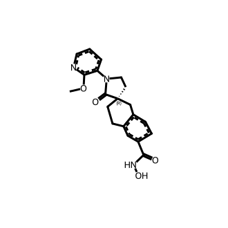 COc1ncccc1N1CC[C@]2(CCc3cc(C(=O)NO)ccc3C2)C1=O